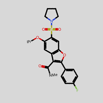 CNC(=O)c1c(-c2ccc(F)cc2)oc2cc(S(=O)(=O)N3CCCC3)c(OC(C)C)cc12